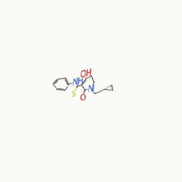 O=C1C(C(=S)Nc2ccccc2)=C(O)CCN1CC1CC1